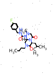 CCCCN1C[C@H]2N(C(=O)CN(C)N2C(=O)NCc2ccc(F)cc2)[C@@H](CC(C)C)C1=O